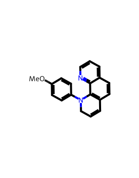 COc1ccc(N2CC=Cc3ccc4cccnc4c32)cc1